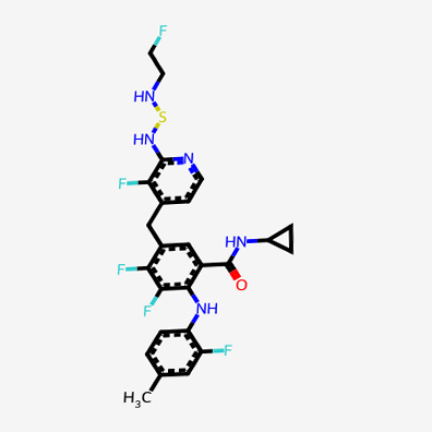 Cc1ccc(Nc2c(C(=O)NC3CC3)cc(Cc3ccnc(NSNCCF)c3F)c(F)c2F)c(F)c1